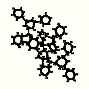 c1ccc(-c2cc(-c3ccccc3)cc(-n3c4ccccc4c4cc5c(cc43)C3(c4cc6c(cc4-5)c4ccccc4n6-c4cc(-c5ccccc5)cc(-c5ccccc5)c4)c4ccccc4N(c4ccccc4)c4ccccc43)c2)cc1